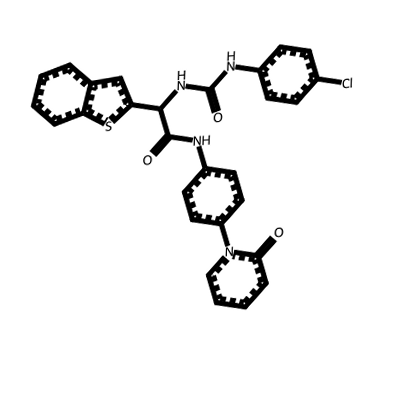 O=C(Nc1ccc(Cl)cc1)NC(C(=O)Nc1ccc(-n2ccccc2=O)cc1)c1cc2ccccc2s1